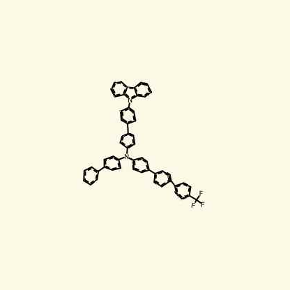 FC(F)(F)c1ccc(-c2ccc(-c3ccc(N(c4ccc(-c5ccccc5)cc4)c4ccc(-c5ccc(-n6c7ccccc7c7ccccc76)cc5)cc4)cc3)cc2)cc1